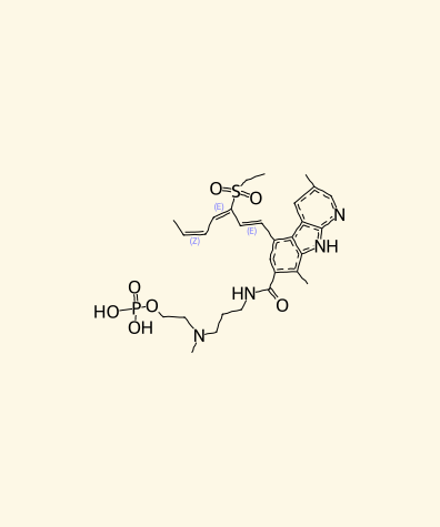 C\C=C/C=C(\C=C\c1cc(C(=O)NCCCN(C)CCOP(=O)(O)O)c(C)c2[nH]c3ncc(C)cc3c12)S(=O)(=O)CC